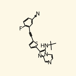 CC(C)(C)Nc1c(-c2ccc(C#Cc3cc(C#N)ccc3F)s2)nc2cnccn12